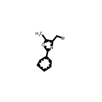 Cc1oc(-c2ccccc2)nc1CBr